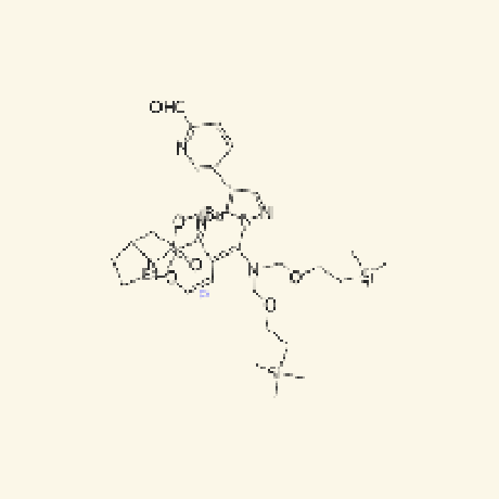 CCO/C=C\c1c(C2CC3CCC(C2)N3C(=O)OC(C)(C)C)nc2c(-c3ccc(C=O)nc3)cnn2c1N(COCC[Si](C)(C)C)COCC[Si](C)(C)C